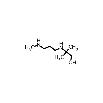 CNCCCNC(C)(C)CO